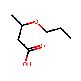 [CH2]C(CC(=O)O)OCCC